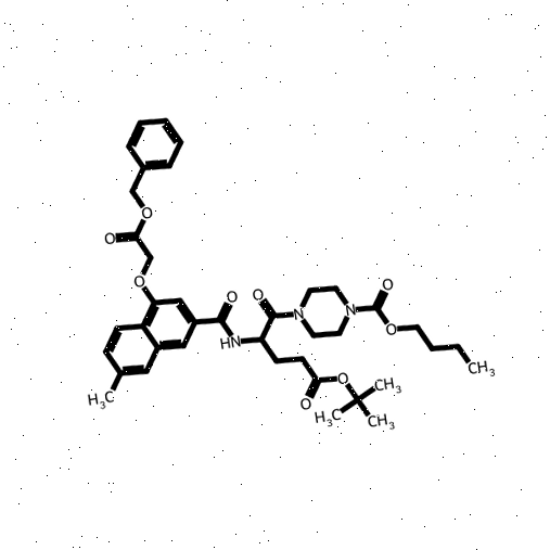 CCCCOC(=O)N1CCN(C(=O)C(CCC(=O)OC(C)(C)C)NC(=O)c2cc(OCC(=O)OCc3ccccc3)c3ccc(C)cc3c2)CC1